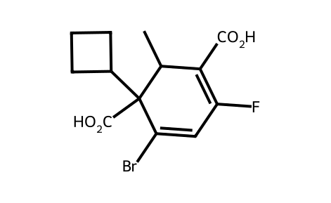 CC1C(C(=O)O)=C(F)C=C(Br)C1(C(=O)O)C1CCC1